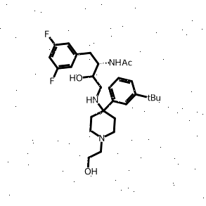 CC(=O)N[C@@H](Cc1cc(F)cc(F)c1)C(O)CNC1(c2cccc(C(C)(C)C)c2)CCN(CCO)CC1